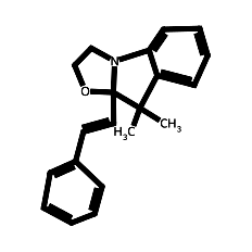 CC1(C)c2ccccc2N2CCOC21C=Cc1ccccc1